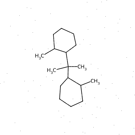 CC1CCCCC1C(C)(C)C1CCCCC1C